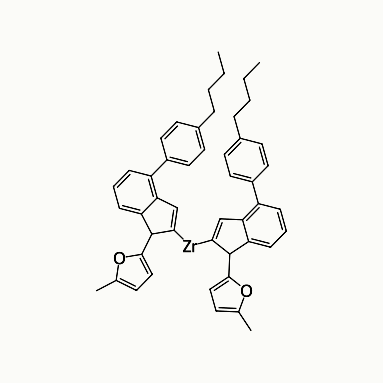 CCCCc1ccc(-c2cccc3c2C=[C]([Zr][C]2=Cc4c(-c5ccc(CCCC)cc5)cccc4C2c2ccc(C)o2)C3c2ccc(C)o2)cc1